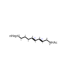 CCCCCCCCCC/C=C/C=C/CNC(C)=O